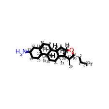 CC(C)CC[C@H]1O[C@H]2C[C@H]3[C@@H]4CC=C5CC(N)CC[C@]5(C)[C@H]4CC[C@]3(C)[C@H]2[C@@H]1C